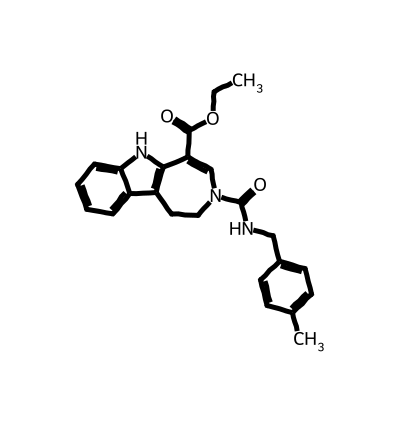 CCOC(=O)C1=CN(C(=O)NCc2ccc(C)cc2)CCc2c1[nH]c1ccccc21